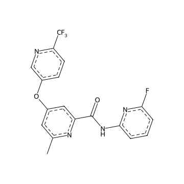 Cc1cc(Oc2ccc(C(F)(F)F)nc2)cc(C(=O)Nc2cccc(F)n2)n1